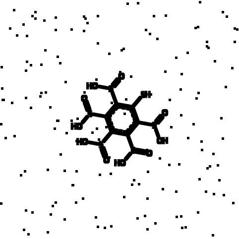 O=S(O)c1c(S)c(S(=O)O)c(S(=O)O)c(S(=O)O)c1S(=O)O